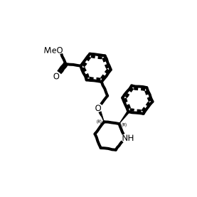 COC(=O)c1cccc(CO[C@@H]2CCCN[C@@H]2c2ccccc2)c1